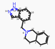 C1=CCC2CCN(Cc3cccc4[nH]ncc34)CC2=C1